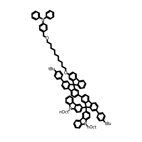 CCCCCCCCn1c2ccccc2c2cc(C3(c4ccc5c(c4)c4ccccc4n5CCCCCCCC)c4cc(-c5ccc(C(C)(C)C)cc5)ccc4-c4ccc(-c5ccc6c(c5)C5(c7ccccc7-c7ccc(OCCCCCCCCCCOCc8ccc(N(c9ccccc9)c9ccccc9)cc8)cc75)c5cc(-c7ccc(C(C)(C)C)cc7)ccc5-6)cc43)ccc21